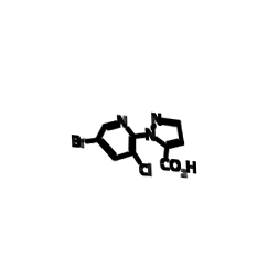 O=C(O)c1ccnn1-c1ncc(Br)cc1Cl